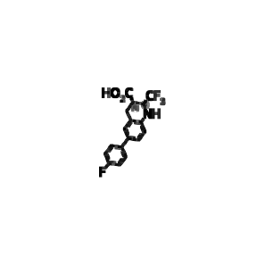 O=C(O)[C@@H]1Cc2cc(-c3ccc(F)cc3)ccc2N[C@@H]1C(F)(F)F